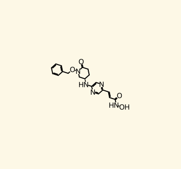 O=C(C=Cc1cnc(N[C@@H]2CCC(=O)N(OCc3ccccc3)C2)cn1)NO